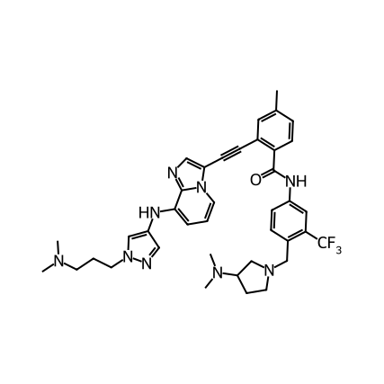 Cc1ccc(C(=O)Nc2ccc(CN3CCC(N(C)C)C3)c(C(F)(F)F)c2)c(C#Cc2cnc3c(Nc4cnn(CCCN(C)C)c4)cccn23)c1